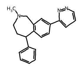 CN1CCC(c2ccccc2)c2ccc(-c3cccnn3)cc2C1